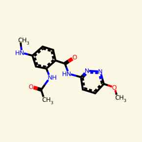 CNc1ccc(C(=O)Nc2ccc(OC)nn2)c(NC(C)=O)c1